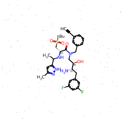 C#Cc1cccc(CN(C[C@@H](O)[C@@H](N)Cc2cc(F)cc(F)c2)C(=O)[C@@H](CS(=O)(=O)CCCC)NC(C)c2cc(C)n[nH]2)c1